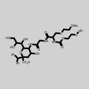 CCCOCCOC(=O)NC(CSCCOC)C(=O)NCC(=O)NC1C(O)CC(C(=O)O)(C(C(C)C)C(C)C)OC1C(O)C(O)CO